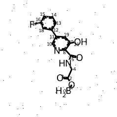 BOC(=O)CNC(=O)c1ncc(-c2cccc(F)c2)cc1O